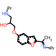 C/C(=N\C(C)C)c1cc2cc(OCC(O)CNC(C)C)ccc2o1